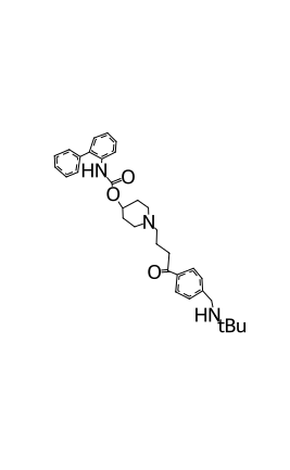 CC(C)(C)NCc1ccc(C(=O)CCCN2CCC(OC(=O)Nc3ccccc3-c3ccccc3)CC2)cc1